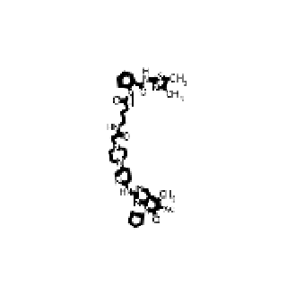 CC(=O)c1c(C)c2cnc(Nc3ccc(N4CCN(CC(=O)NCCCC(=O)Nc5ccccc5C(=O)Nc5nc(C)c(C)s5)CC4)cn3)nc2n(C2CCCC2)c1=O